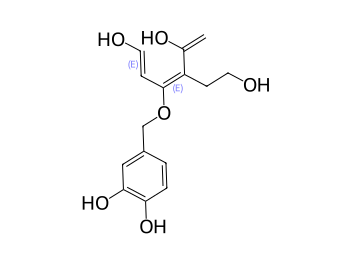 C=C(O)/C(CCO)=C(\C=C\O)OCc1ccc(O)c(O)c1